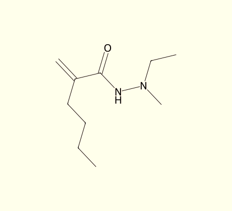 C=C(CCCC)C(=O)NN(C)CC